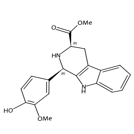 COC(=O)[C@H]1Cc2c([nH]c3ccccc23)[C@@H](c2ccc(O)c(OC)c2)N1